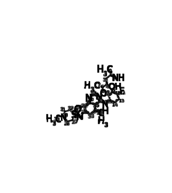 CC(=N)/C=C(\O)[C@@H](C)Oc1cc(F)ccc1Nc1ncnc2cc(N=S3(=O)CCN(C)CC3)cc(C)c12